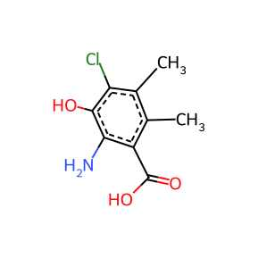 Cc1c(C)c(C(=O)O)c(N)c(O)c1Cl